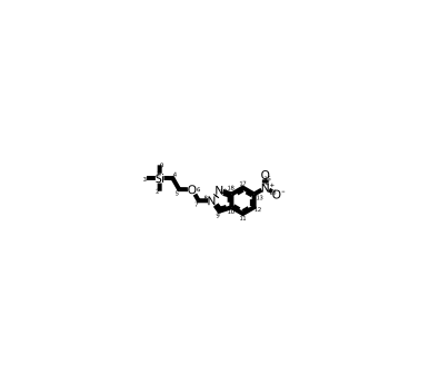 C[Si](C)(C)CCOCn1cc2ccc([N+](=O)[O-])cc2n1